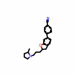 CC1CCCN1CCCC1Cc2ccc(-c3ccc(C#N)cc3)cc2O1